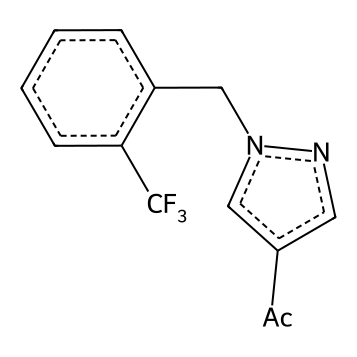 CC(=O)c1cnn(Cc2ccccc2C(F)(F)F)c1